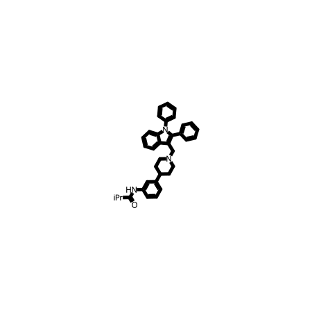 CC(C)C(=O)Nc1cccc(C2CCN(Cc3c(-c4ccccc4)n(-c4ccccc4)c4ccccc34)CC2)c1